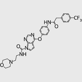 O=C(Cc1ccc(C(F)(F)F)cc1)Nc1ccc(Oc2ncnc3c2ccn3C(=O)NCCN2CCOCC2)cc1